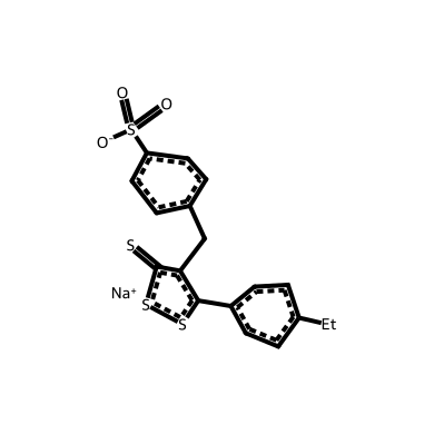 CCc1ccc(-c2ssc(=S)c2Cc2ccc(S(=O)(=O)[O-])cc2)cc1.[Na+]